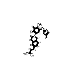 COc1c(Oc2ncc(C)s2)cc(N2CCc3cc(CCC(=O)O)ccc3C2)c(F)c1C